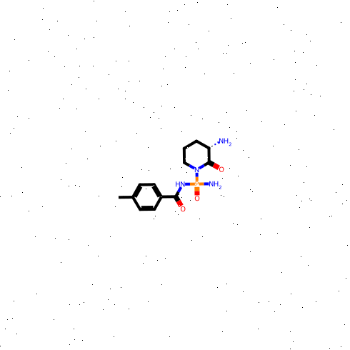 Cc1ccc(C(=O)NP(N)(=O)N2CCC[C@H](N)C2=O)cc1